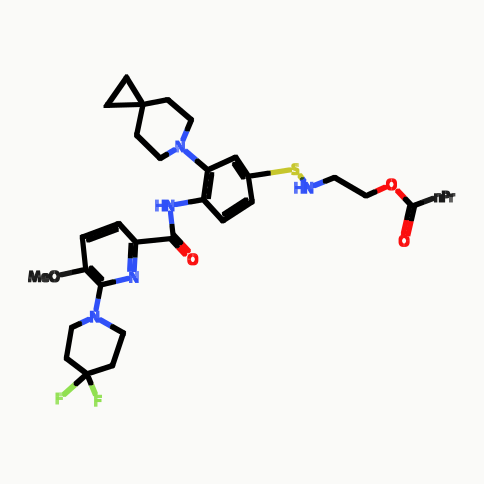 CCCC(=O)OCCNSc1ccc(NC(=O)c2ccc(OC)c(N3CCC(F)(F)CC3)n2)c(N2CCC3(CC2)CC3)c1